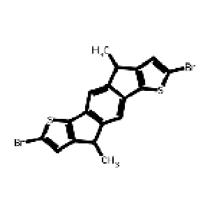 CC1c2cc3c(cc2-c2sc(Br)cc21)C(C)c1cc(Br)sc1-3